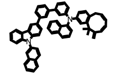 C=C1/C=C\C=C/Cc2ccc(N(c3cccc(-c4cccc(-c5ccc6c(c5)c5ccccc5n6-c5ccc6ccccc6c5)c4)c3)c3cccc4ccccc34)cc2C1(C)C